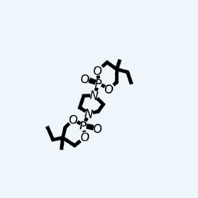 CCC1(C)COP(=O)(N2CCN(P3(=O)OCC(C)(CC)CO3)CC2)OC1